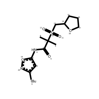 CC(C)(C)c1cc(NC(=O)C(C)(C)S(=O)(=O)CC2CCCO2)on1